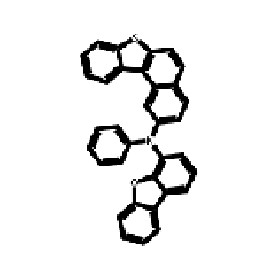 c1ccc(N(c2ccc3ccc4sc5ccccc5c4c3c2)c2cccc3c2oc2ccccc23)cc1